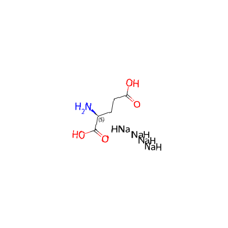 N[C@@H](CCC(=O)O)C(=O)O.[NaH].[NaH].[NaH].[NaH]